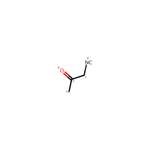 [C-]#[N+]CC(C)=O